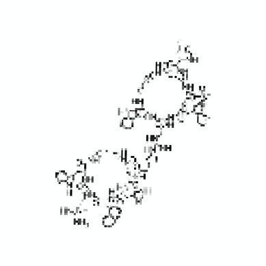 CCCC[C@H](NC(C)=O)C(=O)N[C@H]1CC(=O)NCCCCCNC(=O)[C@H](Cc2c[nH]c3ccccc23)NC(=O)C(CCCNC(=N)NC2CCC(CC(=O)N[C@H]3CC(=O)NCCCCCNC(=O)[C@H](Cc4c[nH]c5ccccc45)NC(=O)[C@H](CCCNC(=N)N)NC(=O)[C@@H](Cc4cccc5ccccc45)NC(=O)[C@H](Cc4c[nH]cn4)NC3=O)C2)NC(=O)[C@@H](Cc2cccc3ccccc23)NC(=O)[C@H](CCS(C)(=O)=O)NC1=O